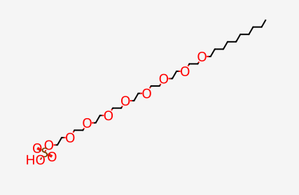 CCCCCCCCCCOCCOCCOCCOCCOCCOCCOCCOCCOS(=O)(=O)O